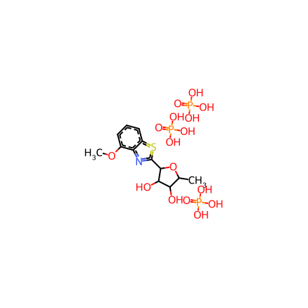 COc1cccc2sc(C3OC(C)C(O)C3O)nc12.O=P(O)(O)O.O=P(O)(O)O.O=P(O)(O)O